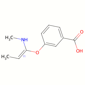 C/C=C(\NC)Oc1cccc(C(=O)O)c1